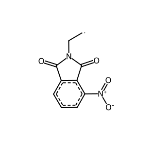 [CH2]CN1C(=O)c2cccc([N+](=O)[O-])c2C1=O